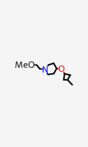 COCCN1CCC(OC2CC(C)C2)CC1